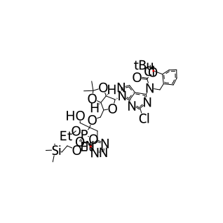 CCOP(=O)(OCC)C(CO)(Cc1nnnn1COCC[Si](C)(C)C)OCC1O[C@@H](n2ncc3c(N(Cc4ccccc4Cl)C(=O)OC(C)(C)C)nc(Cl)nc32)[C@@H]2OC(C)(C)O[C@H]12